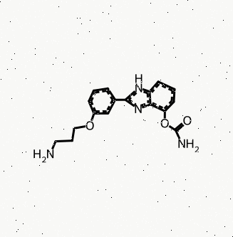 NCCCOc1cccc(-c2nc3c(OC(N)=O)cccc3[nH]2)c1